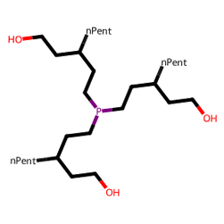 CCCCCC(CCO)CCP(CCC(CCO)CCCCC)CCC(CCO)CCCCC